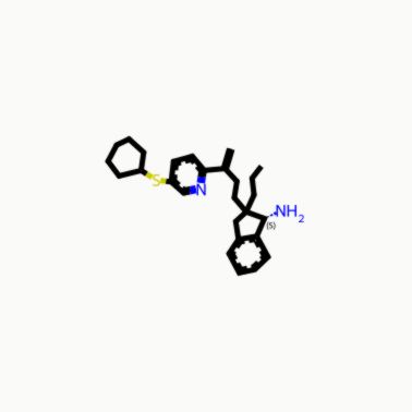 C=C(CCC1(CCC)Cc2ccccc2[C@H]1N)c1ccc(SC2CCCCC2)cn1